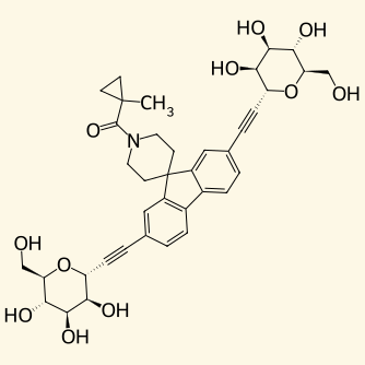 CC1(C(=O)N2CCC3(CC2)c2cc(C#C[C@H]4O[C@H](CO)[C@@H](O)[C@H](O)[C@@H]4O)ccc2-c2ccc(C#C[C@H]4O[C@H](CO)[C@@H](O)[C@H](O)[C@@H]4O)cc23)CC1